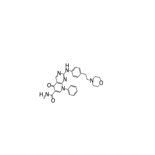 NC(=O)c1cn(-c2ccccc2)c2nc(Nc3ccc(CCN4CCOCC4)cc3)ncc2c1=O